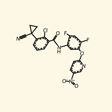 N#CC1(c2cccc(C(=O)Nc3cc(Oc4ccc([N+](=O)[O-])cn4)c(F)cc3F)c2Cl)CC1